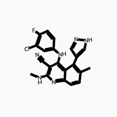 CNc1nc2ccc(C)c(-c3cn[nH]c3)c2c(Nc2ccc(F)c(Cl)c2)c1C#N